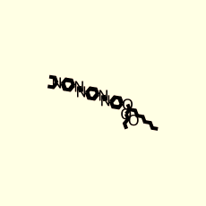 CCCCCCCC(OC(=O)CC)Oc1ccc(/N=N/c2ccc(/N=N/c3ccc(N(CC)CC)cc3)cc2)cc1